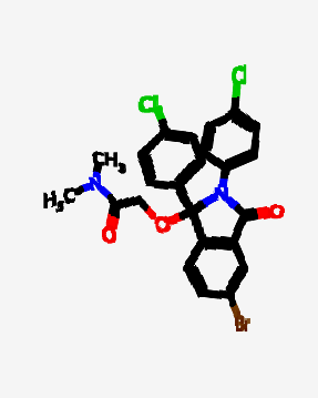 CN(C)C(=O)COC1(c2ccc(Cl)cc2)c2ccc(Br)cc2C(=O)N1c1ccc(Cl)cc1